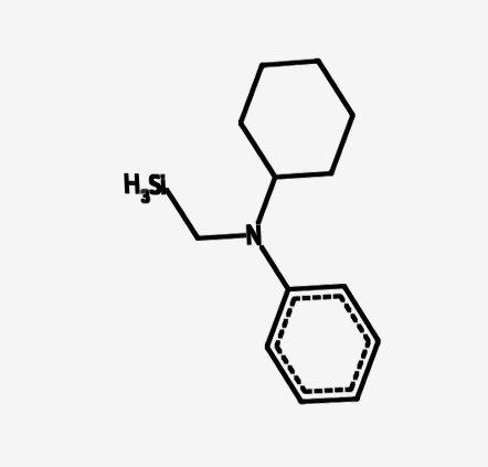 [SiH3]CN(c1ccccc1)C1CCCCC1